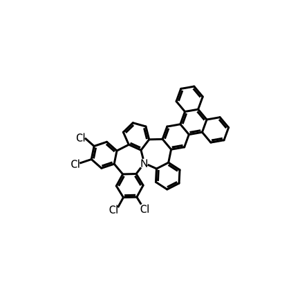 Clc1cc2c(cc1Cl)-c1cccc3c1N(c1ccccc1-c1cc4c5ccccc5c5ccccc5c4cc1-3)c1cc(Cl)c(Cl)cc1-2